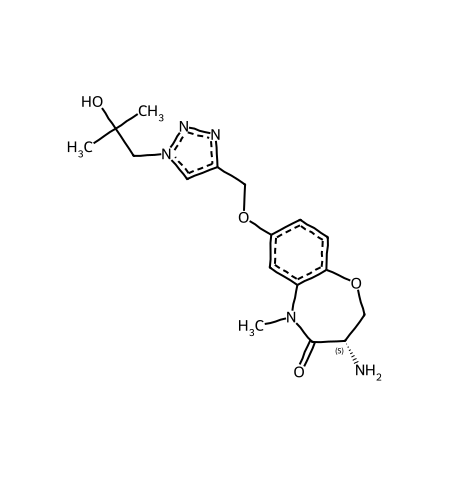 CN1C(=O)[C@@H](N)COc2ccc(OCc3cn(CC(C)(C)O)nn3)cc21